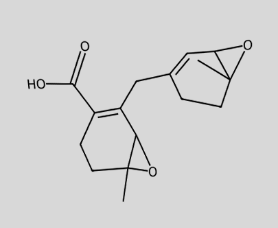 CC12CCC(CC3=C(C(=O)O)CCC4(C)OC34)=CC1O2